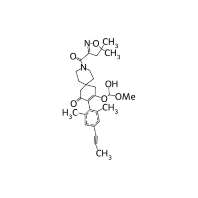 CC#Cc1cc(C)c(C2=C(OC(O)OC)CC3(CCN(C(=O)C4=NOC(C)(C)C4)CC3)CC2=O)c(C)c1